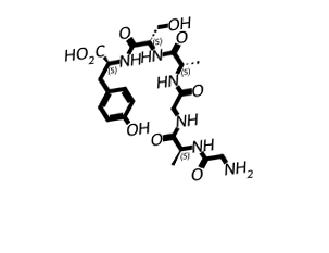 C[C@H](NC(=O)CN)C(=O)NCC(=O)N[C@@H](C)C(=O)N[C@@H](CO)C(=O)N[C@@H](Cc1ccc(O)cc1)C(=O)O